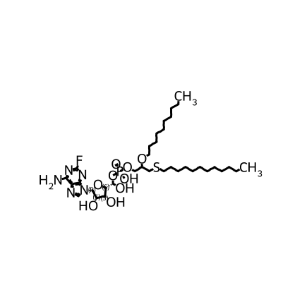 CCCCCCCCCCCCSCC(COP(=O)(O)OC(O)[C@H]1O[C@@H](n2cnc3c(N)nc(F)nc32)[C@@H](O)[C@@H]1O)OCCCCCCCCCC